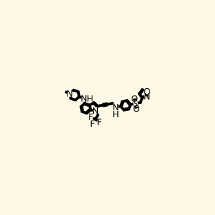 CN1CCC(Nc2cccc3c2cc(C#CCNc2ccc(S(=O)(=O)Cc4ccon4)cc2)n3CC(F)(F)F)CC1